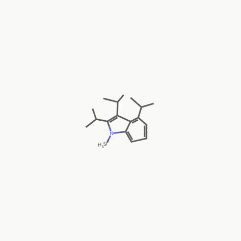 CC(C)c1cccc2c1c(C(C)C)c(C(C)C)n2[SiH3]